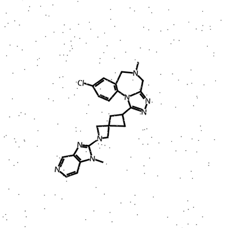 CN1Cc2cc(Cl)ccc2-n2c(nnc2C2CC3(C2)CN(c2nc4cnccc4n2C)C3)C1